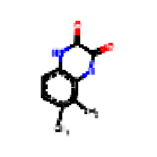 Cc1ccc2c(c1C)[N]C(=O)C(=O)N2